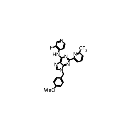 COc1ccc(Cn2cnc3c(Nc4ccncc4F)nc(-c4cccc(C(F)(F)F)n4)nc32)cc1